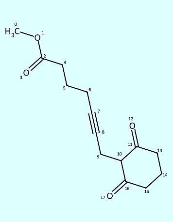 COC(=O)CCCC#CCC1C(=O)CCCC1=O